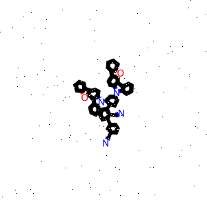 N#Cc1cccc(-c2cccc(-c3ccc(-n4c5ccccc5c5c6oc7ccccc7c6ccc54)cc3-n3c4ccccc4c4c5oc6ccccc6c5ccc43)c2C#N)c1